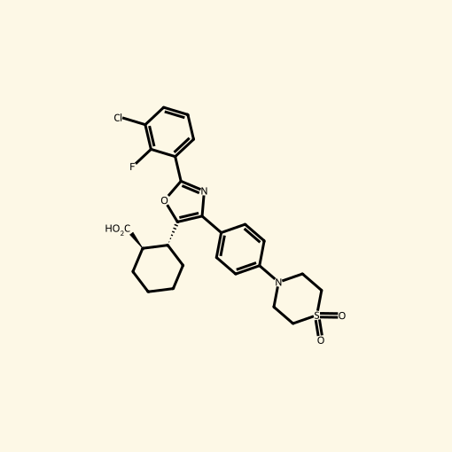 O=C(O)[C@@H]1CCCC[C@H]1c1oc(-c2cccc(Cl)c2F)nc1-c1ccc(N2CCS(=O)(=O)CC2)cc1